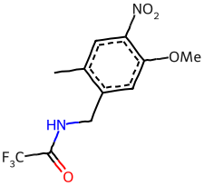 COc1cc(CNC(=O)C(F)(F)F)c(C)cc1[N+](=O)[O-]